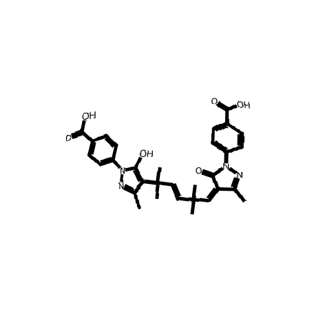 CC1=NN(c2ccc(C(=O)O)cc2)C(=O)C1=CC(C)(C)C=CC(C)(C)c1c(C)nn(-c2ccc(C(=O)O)cc2)c1O